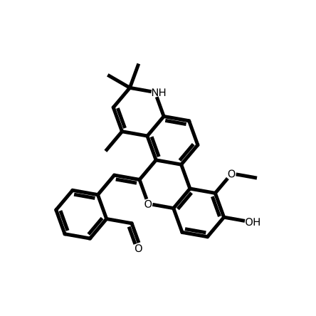 COc1c(O)ccc2c1-c1ccc3c(c1/C(=C/c1ccccc1C=O)O2)C(C)=CC(C)(C)N3